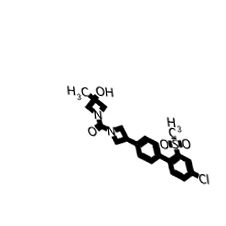 CC1(O)CN(C(=O)N2CC(c3ccc(-c4ccc(Cl)cc4S(C)(=O)=O)cc3)C2)C1